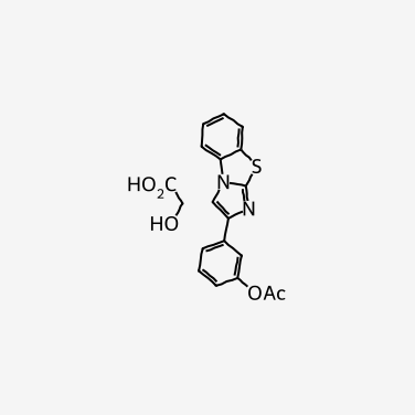 CC(=O)Oc1cccc(-c2cn3c(n2)sc2ccccc23)c1.O=C(O)CO